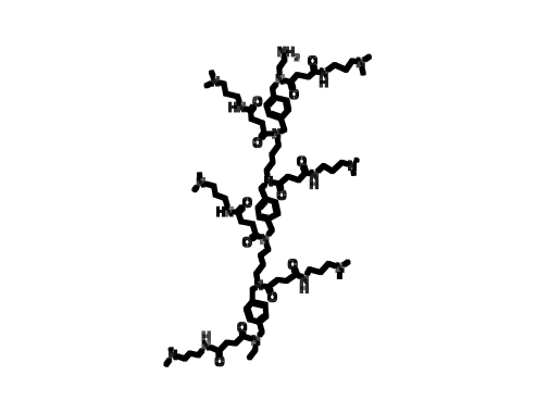 CCN(Cc1ccc(CN(CCCCN(Cc2ccc(CN(CCCCN(Cc3ccc(CN(CCN)C(=O)CCC(=O)NCCCN(C)C)cc3)C(=O)CCC(=O)NCCCN(C)C)C(=O)CCC(=O)NCCCN(C)C)cc2)C(=O)CCC(=O)NCCCN(C)C)C(=O)CCC(=O)NCCCN(C)C)cc1)C(=O)CCC(=O)NCCCN(C)C